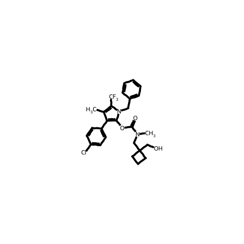 Cc1c(-c2ccc(Cl)cc2)c(OC(=O)N(C)CC2(CO)CCC2)n(Cc2ccccc2)c1C(F)(F)F